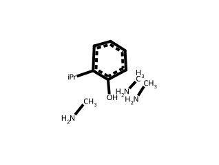 CC(C)c1ccccc1O.CN.CN.CN